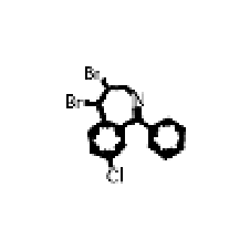 Clc1ccc2c(c1)C(c1ccccc1)=NCC(Br)C2Br